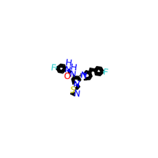 O=C(Nc1ccc(F)cc1)N[C@@H]1CCN(Cc2nccs2)C[C@H]1CN1CCCC(Cc2ccc(F)cc2)C1